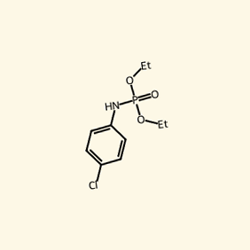 CCOP(=O)(Nc1ccc(Cl)cc1)OCC